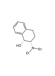 CCN(CC)[C@H]1CCc2ccccc2[C@H]1O